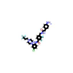 NC1CCC(CC(=O)NCc2ccc(C(=O)Nc3ccc(Cl)cc3N3CCN(CCC(F)(F)F)CC3)c(F)c2F)CC1